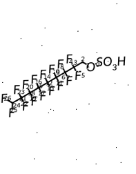 O=S(=O)(O)OCC(F)(F)C(F)(F)C(F)(F)C(F)(F)C(F)(F)C(F)(F)C(F)(F)C(F)F